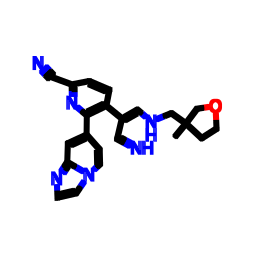 CC1(CN/C=C(\C=N)c2ccc(C#N)nc2-c2ccn3ccnc3c2)CCOC1